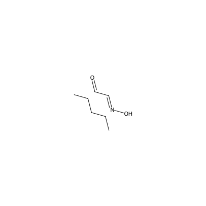 CCCCC.O=CC=NO